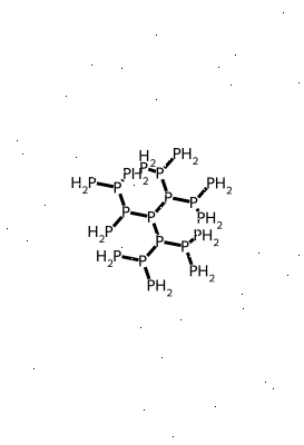 PP(P)P(P)P(P(P(P)P)P(P)P)P(P(P)P)P(P)P